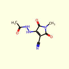 CC(=O)NNC1=C(C#N)C(=O)N(C)C1=O